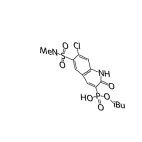 CCC(C)OP(=O)(O)c1cc2cc(S(=O)(=O)NC)c(Cl)cc2[nH]c1=O